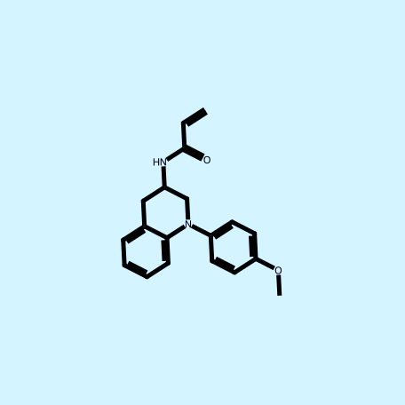 C=CC(=O)NC1Cc2ccccc2N(c2ccc(OC)cc2)C1